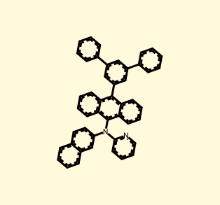 c1ccc(-c2cc(-c3ccccc3)cc(-c3c4ccccc4c(N(c4ccc5ccccc5c4)c4ccccn4)c4ccccc34)c2)cc1